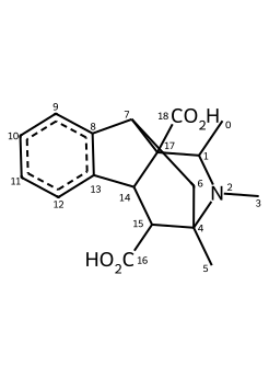 CC1N(C)C2(C)CC3c4ccccc4C(C2C(=O)O)C31C(=O)O